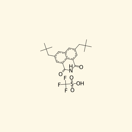 CC(C)(C)Cc1cc2c3c(cc(CC(C)(C)C)cc3c1)C(=O)NC2=O.O=S(=O)(O)C(F)(F)F